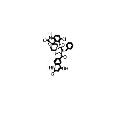 O=C1Nc2ccc(Cl)c(F)c2[C@@]2(CCCN(C(=O)[C@H](Cc3ccccc3)NC(=O)c3ccc4[nH]c(=O)cc(O)c4c3)C2)O1